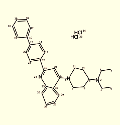 CCN(CC)C1CCN(c2cc(-c3ccc(-c4ccccc4)cc3)nc3ccccc23)CC1.Cl.Cl